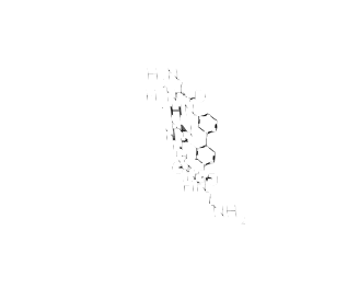 NCCNS1(=O)=NS(=O)(=O)c2c1ccc(-c1cccc(NC(=O)[C@@H](N)CN)c1)c2-c1nn[nH]n1